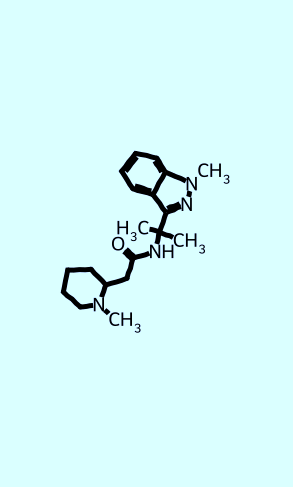 CN1CCCCC1CC(=O)NC(C)(C)c1nn(C)c2ccccc12